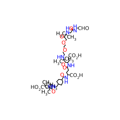 CC(C)(CC(C)(C)C(=O)NCC1CCC(C(=O)NC(CCC(=O)NC(CCC(=O)O)C(=O)C(C)(C)NCCOCCOCC(=O)C(C)(C)NCC(=O)NCC=O)C(=O)O)CC1)C(=O)O